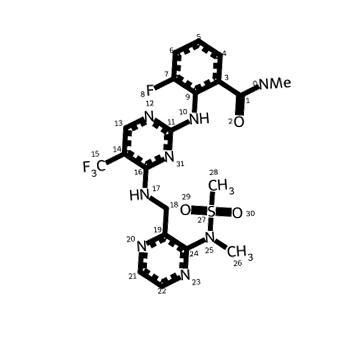 CNC(=O)c1cccc(F)c1Nc1ncc(C(F)(F)F)c(NCc2nccnc2N(C)S(C)(=O)=O)n1